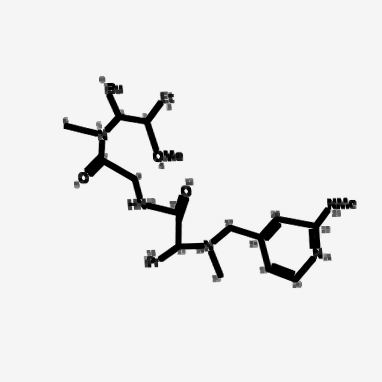 CCC(C)C(C(CC)OC)N(C)C(=O)CNC(=O)C(C(C)C)N(C)Cc1ccnc(NC)c1